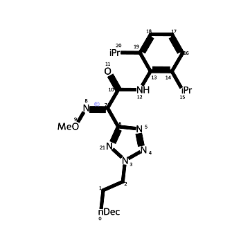 CCCCCCCCCCCCn1nnc(/C(=N\OC)C(=O)Nc2c(C(C)C)cccc2C(C)C)n1